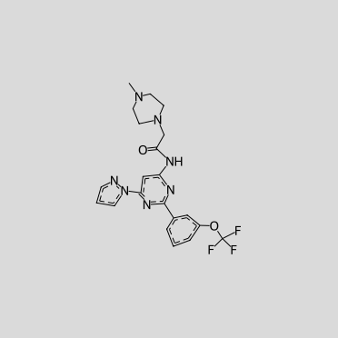 CN1CCN(CC(=O)Nc2cc(-n3cccn3)nc(-c3cccc(OC(F)(F)F)c3)n2)CC1